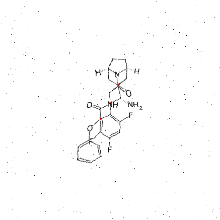 N[C@H](Cc1cc(F)c(F)cc1F)C1C[C@H]2CC[C@@H](C1)N2C(=O)CNC(=O)COc1ccccc1